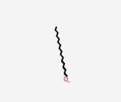 [CH2]OC=CC=CC=CCCCCCCCCCCC